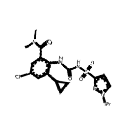 CC(C)n1ccc(S(=O)(=O)NC(=O)Nc2c(C(=O)N(C)C)cc(Cl)cc2C2CC2)n1